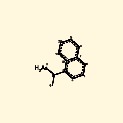 CC([AsH2])c1cccc2ccccc12